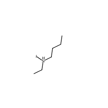 CCCC[SiH](I)CC